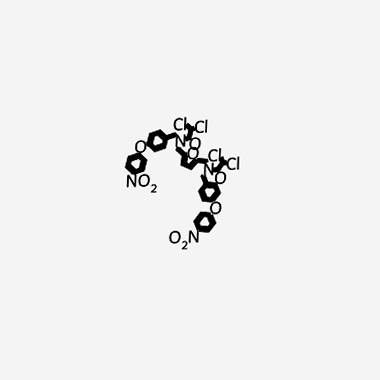 O=C(C(Cl)Cl)N(Cc1ccc(Oc2ccc([N+](=O)[O-])cc2)cc1)Cc1ccc(CN(Cc2ccc(Oc3ccc([N+](=O)[O-])cc3)cc2)C(=O)C(Cl)Cl)o1